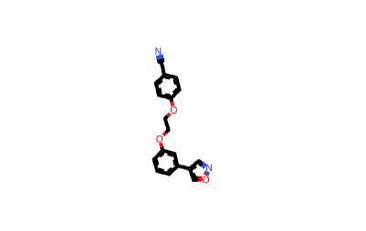 N#Cc1ccc(OCCOc2cccc(-c3cnoc3)c2)cc1